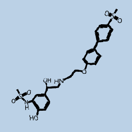 CS(=O)(=O)Nc1cc([C@@H](O)CNCCOc2ccc(-c3ccc(S(C)(=O)=O)cc3)cc2)ccc1O